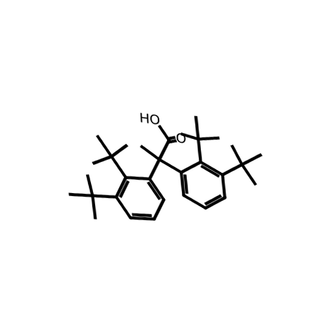 CC(C)(C)c1cccc(C(C)(C(=O)O)c2cccc(C(C)(C)C)c2C(C)(C)C)c1C(C)(C)C